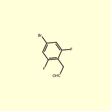 O=CCc1c(F)cc(Br)cc1F